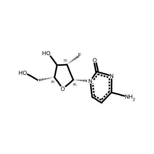 Nc1ccn([C@@H]2O[C@H](CO)C(O)[C@@H]2F)c(=O)n1